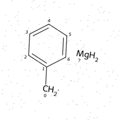 [CH2]c1ccccc1.[MgH2]